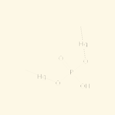 [CH3][Hg][O]P(=O)(O)[O][Hg][CH3]